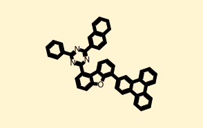 C1=Cc2cc(-c3nc(-c4ccccc4)nc(-c4cccc5oc6c(-c7ccc8c9ccccc9c9ccccc9c8c7)cccc6c45)n3)ccc2CC1